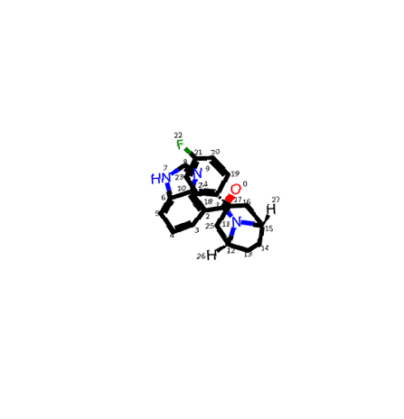 O=C(c1cccc2[nH]cnc12)N1[C@@H]2CC[C@H]1C[C@@H](c1ccc(F)cc1)C2